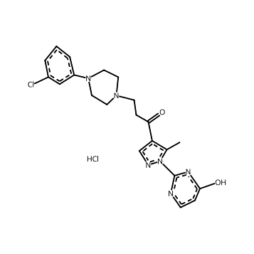 Cc1c(C(=O)CCN2CCN(c3cccc(Cl)c3)CC2)cnn1-c1nccc(O)n1.Cl